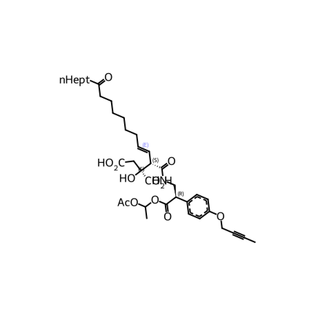 CC#CCOc1ccc([C@H](CNC(=O)[C@@H](/C=C/CCCCCCC(=O)CCCCCCC)[C@@](O)(CC(=O)O)C(=O)O)C(=O)OC(C)OC(C)=O)cc1